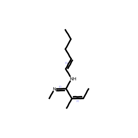 C/C=C(C)\C(=N/C)N/C=C/CCC